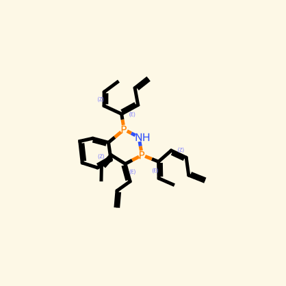 C=C/C=C\C(=C/C)P(NP(C(/C=C\C)=C/C=C)c1ccccc1)C(/C=C\C)=C/C=C